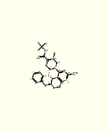 C[C@@H]1CN(C(=O)OC(C)(C)C)[C@@H](C)CN1c1nc(Cl)nc2c1CN(Cc1ccccc1)CC2